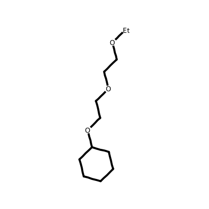 [CH2]COCCOCCOC1CCCCC1